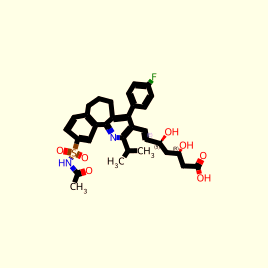 CC(=O)NS(=O)(=O)c1ccc2c(c1)-c1nc(C(C)C)c(/C=C/[C@@H](O)C[C@@H](O)CC(=O)O)c(-c3ccc(F)cc3)c1CCC2